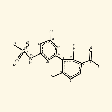 CC(=O)c1ccc(C)c(-c2cc(C)cc(NS(C)(=O)=O)c2)c1F